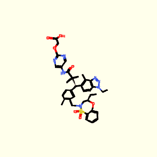 CC[C@@H]1CN(Cc2cc([C@@H](c3ccc4c(nnn4CC)c3C)C(C)(C)C(=O)Nc3cnc(OCC(=O)O)nc3)ccc2C)S(=O)(=O)c2ccccc2O1